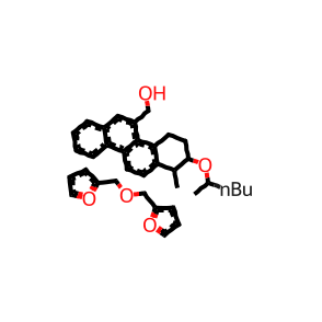 CCCCC(C)OC1CCc2c(ccc3c2c(CO)cc2ccccc23)C1C.c1coc(COCc2ccco2)c1